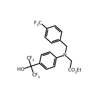 CCOC(=O)CN(Cc1ccc(C(F)(F)F)cc1)c1ccc(C(O)(C(F)(F)F)C(F)(F)F)cc1